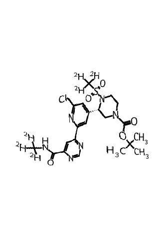 [2H]C([2H])([2H])NC(=O)c1cc(-c2cc([C@H]3CN(C(=O)OC(C)(C)C)CCN3S(=O)(=O)C([2H])([2H])[2H])cc(Cl)n2)ncn1